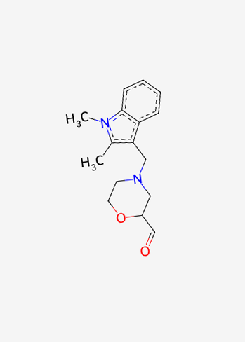 Cc1c(CN2CCOC(C=O)C2)c2ccccc2n1C